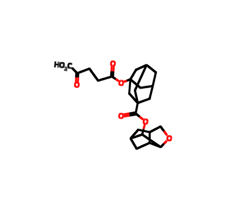 O=C(CCC(=O)C(=O)O)OC12CC3CC(C1)CC(C(=O)OC1C4CC5COC1C5C4)(C3)C2